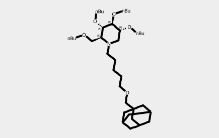 CCCCOC[C@H]1[C@H](OCCCC)[C@@H](OCCCC)[C@H](OCCCC)CN1CCCCCOCC12CC3CC(CC(C3)C1)C2